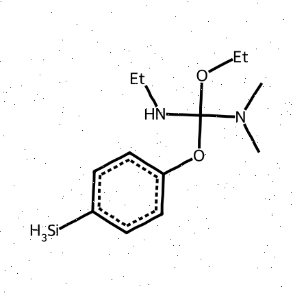 CCNC(OCC)(Oc1ccc([SiH3])cc1)N(C)C